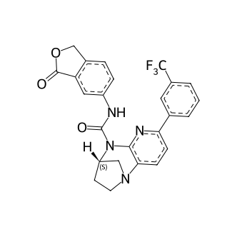 O=C1OCc2ccc(NC(=O)N3c4nc(-c5cccc(C(F)(F)F)c5)ccc4N4CC[C@H]3C4)cc21